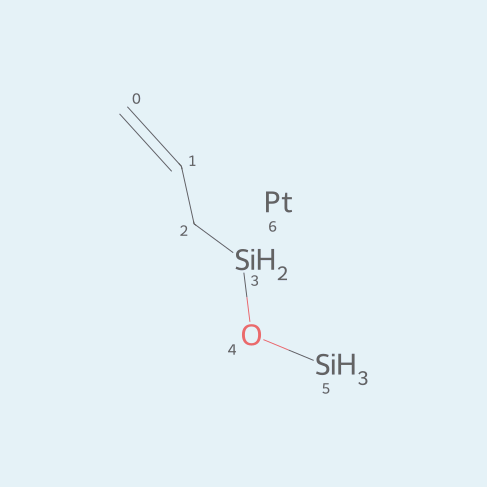 C=CC[SiH2]O[SiH3].[Pt]